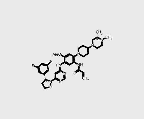 C=CC(=O)Nc1cc(Nc2cc(N3OCC[C@@H]3c3cc(F)cc(F)c3)ncn2)c(OC)cc1N1CCC(N2CCN(C)[C@@H](C)C2)CC1